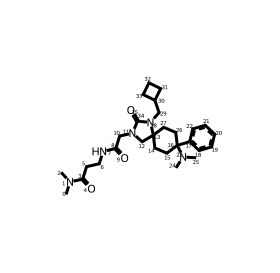 CN(C)C(=O)CCNC(=O)CN1CC2(CCC(c3ccccc3)(N(C)C)CC2)N(CC2CCC2)C1=O